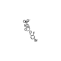 O=[N+]([O-])c1cn2c(n1)OC[C@@H](OCc1ccc(Br)cc1F)C2